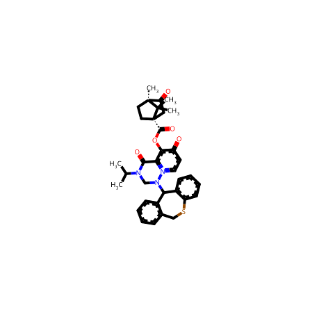 CC(C)N1CN(C2c3ccccc3CSc3ccccc32)n2ccc(=O)c(OC(=O)[C@@]34CC[C@@](C)(C(=O)C3)C4(C)C)c2C1=O